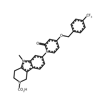 Cn1c2c(c3ccc(-n4ccc(OCc5ccc(C(F)(F)F)cc5)cc4=O)cc31)CN(C(=O)O)CC2